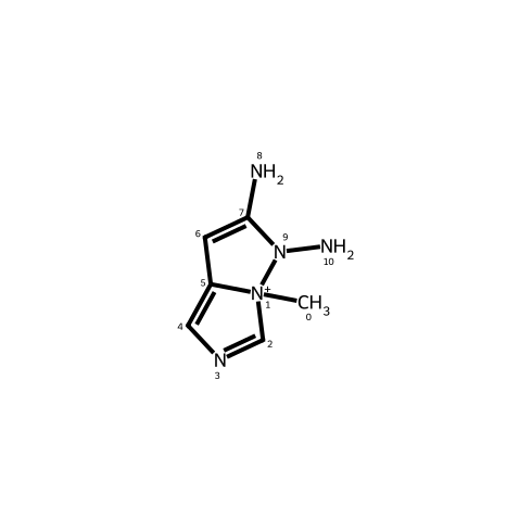 C[N+]12C=NC=C1C=C(N)N2N